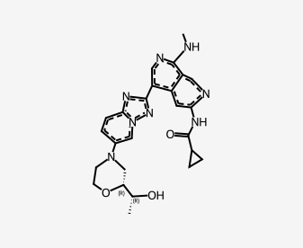 CNc1ncc(-c2nc3ccc(N4CCO[C@@H]([C@@H](C)O)C4)cn3n2)c2cc(NC(=O)C3CC3)ncc12